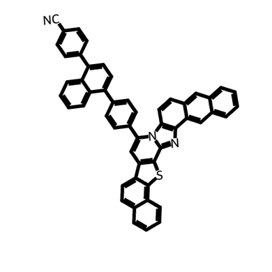 N#Cc1ccc(-c2ccc(-c3ccc(-c4cc5c6ccc7ccccc7c6sc5c5nc6c7cc8ccccc8cc7ccc6n45)cc3)c3ccccc23)cc1